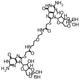 Nc1nc2c(nc(SCC(=O)NCCOCCNC(=O)CSc3nc4c(=O)[nH]c(N)nc4n3[C@@H]3OC4CO[PH](O)(O)O[C@H]4C3O)n2[C@@H]2OC3CO[PH](O)(O)O[C@H]3C2O)c(=O)[nH]1